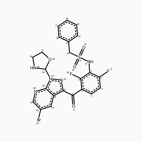 O=C(c1ccc(F)c(NS(=O)(=O)Cc2ccccc2)c1F)c1nn(C2NCCO2)c2ncc(Br)cc12